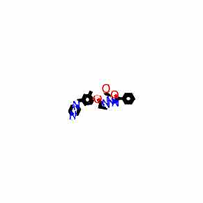 Cc1cc(CN2CCN(C)CC2)ccc1OC1CCN1N1N=C(c2ccccc2)OC1C=O